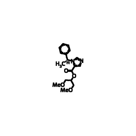 COCC(COC)OC(=O)c1cncn1[C@H](C)c1ccccc1